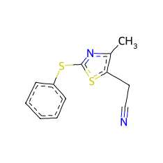 Cc1nc(Sc2ccccc2)sc1CC#N